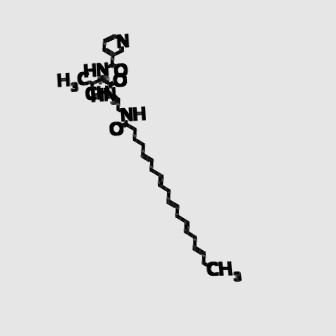 CCC=CCC=CCC=CCC=CCC=CCCCC(=O)NCCNC(=O)[C@@H](NC(=O)c1cccnc1)C(C)C